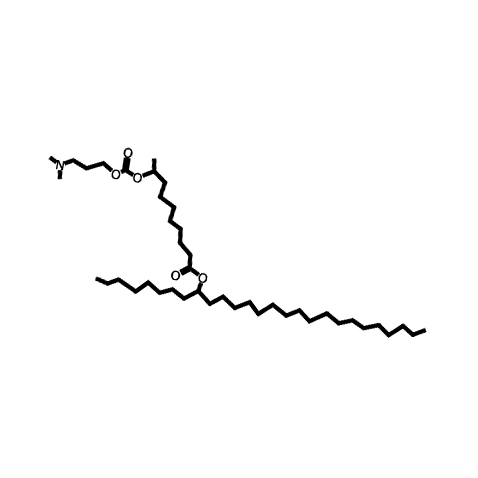 CCCCCCCCCCCCCCCCCCC(CCCCCCCC)OC(=O)CCCCCCCC(C)OC(=O)OCCCN(C)C